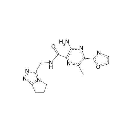 Cc1nc(C(=O)NCc2nnc3n2CCC3)c(N)nc1-c1ncco1